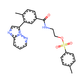 Cc1ccc(S(=O)(=O)OCCNC(=O)c2ccc(C)c(-c3cnc4cccnn34)c2)cc1